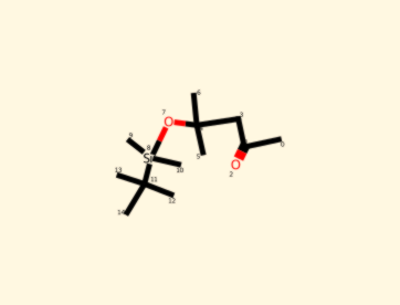 CC(=O)CC(C)(C)O[Si](C)(C)C(C)(C)C